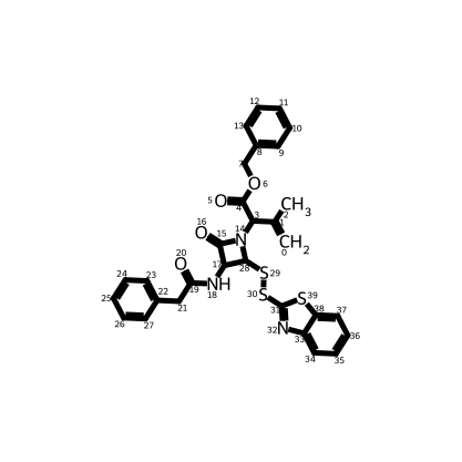 C=C(C)C(C(=O)OCc1ccccc1)N1C(=O)C(NC(=O)Cc2ccccc2)C1SSc1nc2ccccc2s1